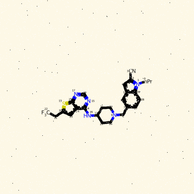 CCCn1c(C#N)cc2cc(CN3CCC(Nc4ncnc5sc(CC(F)(F)F)cc45)CC3)ccc21